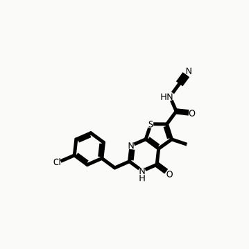 Cc1c(C(=O)NC#N)sc2nc(Cc3cccc(Cl)c3)[nH]c(=O)c12